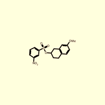 COc1ccc2c(c1)CC(OS(=O)(=O)c1cccc([N+](=O)[O-])c1)CC2